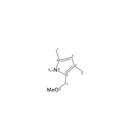 COCc1c(C)cc(C)n1C